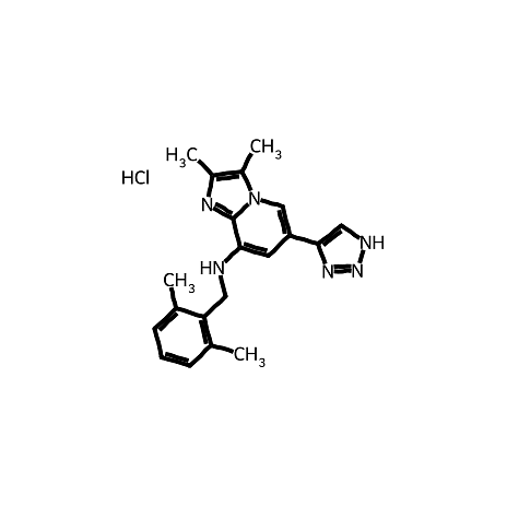 Cc1cccc(C)c1CNc1cc(-c2c[nH]nn2)cn2c(C)c(C)nc12.Cl